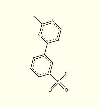 Cc1nccc(-c2cccc(S(=O)(=O)Cl)c2)n1